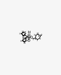 CN1CCC(COC(=O)C(O)(c2cccs2)c2cccs2)CC1